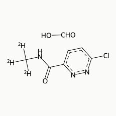 O=CO.[2H]C([2H])([2H])NC(=O)c1ccc(Cl)nn1